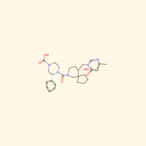 Cc1cc(=O)n(C[C@]2(O)CCN(C(=O)N3CCN(C(=O)O)C[C@H]3c3ccccc3)CC23CCCC3)cn1